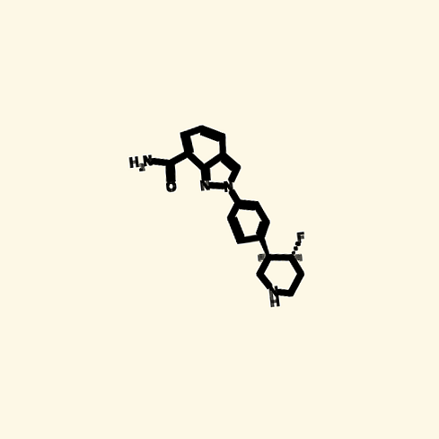 NC(=O)c1cccc2cn(-c3ccc([C@@H]4CNCC[C@H]4F)cc3)nc12